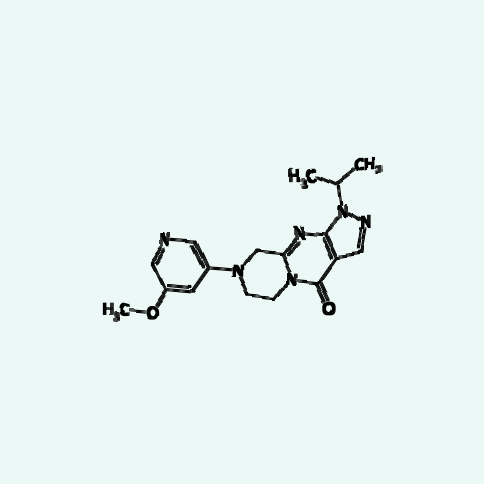 COc1cncc(N2CCn3c(nc4c(cnn4C(C)C)c3=O)C2)c1